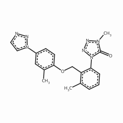 Cc1cc(-n2ccnn2)ccc1OCc1c(C)cccc1-n1nnn(C)c1=O